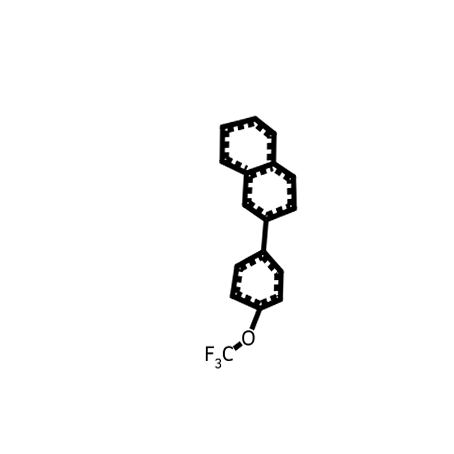 FC(F)(F)Oc1ccc(-c2ccc3ccccc3c2)cc1